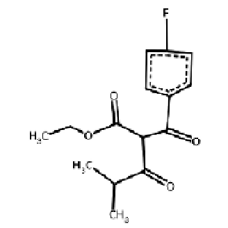 CCOC(=O)C(C(=O)c1ccc(F)cc1)C(=O)C(C)C